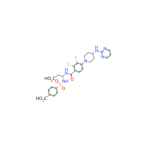 O=C(O)CC(NC(=O)c1ccc(N2CCC(Nc3ncccn3)CC2)c(F)c1F)NS(=O)(=O)c1ccc(C(=O)O)cc1